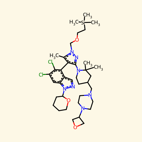 Cc1c(-c2c(Cl)c(Cl)cc3c2cnn3C2CCCCO2)c(N2CCC(CN3CCN(C4COC4)CC3)CC2(C)C)nn1COCC[Si](C)(C)C